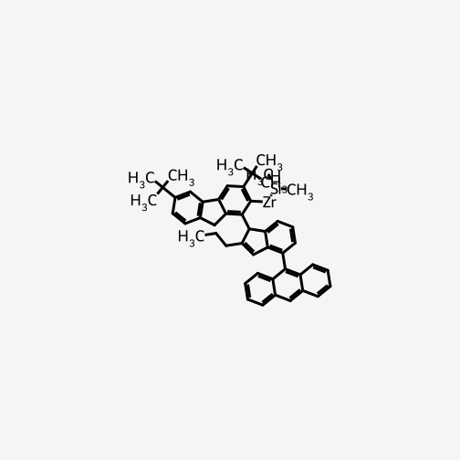 CCCC1=Cc2c(-c3c4ccccc4cc4ccccc34)cccc2C1c1c2c(cc(C(C)(C)C)[c]1[Zr][SiH](C)C)-c1cc(C(C)(C)C)ccc1C2